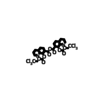 O=C(OCC(Cl)(Cl)Cl)Oc1c(C(=O)OC(=O)c2ccc3cccnc3c2OC(=O)OCC(Cl)(Cl)Cl)ccc2cccnc12